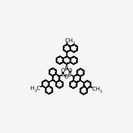 Cc1ccc(-c2c3ccccc3c(B3OB(c4c5ccccc5c(-c5ccc(C)c6ccccc56)c5ccccc45)OB(c4c5ccccc5c(-c5ccc(C)c6ccccc56)c5ccccc45)O3)c3ccccc23)c2ccccc12